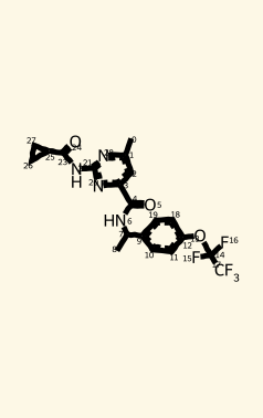 Cc1cc(C(=O)NC(C)c2ccc(OC(F)(F)C(F)(F)F)cc2)nc(NC(=O)C2CC2)n1